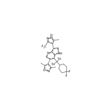 [2H]C([2H])(c1c(-c2c(C)noc2C)cnc2c(-c3c(C(F)(F)F)n[nH]c3C)c[nH]c12)C1CCC(F)(F)CC1